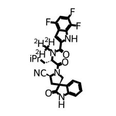 [2H]C([2H])([2H])N(C(=O)c1cc2c(F)cc(F)c(F)c2[nH]1)[C@@H](CC(C)C)C(=O)N1C[C@]2(C[C@H]1C#N)C(=O)Nc1ccccc12